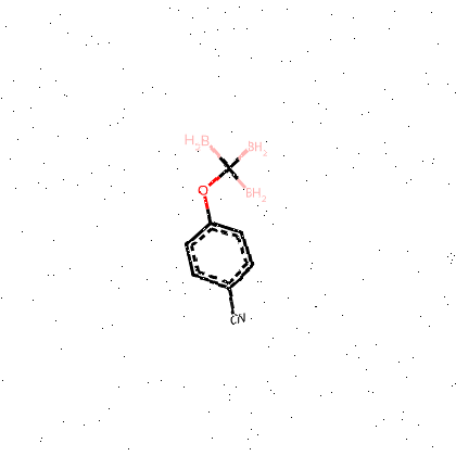 BC(B)(B)Oc1ccc(C#N)cc1